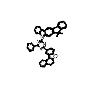 CC1(C)c2ccccc2-c2cc3c4ccccc4n(-c4nc(-c5ccccc5)nc(-c5ccc6oc7ccc8ccccc8c7c6c5)n4)c3cc21